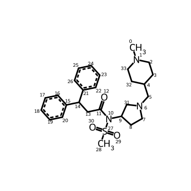 CN1CCC(CN2CCC(N(C(=O)CC(c3ccccc3)c3ccccc3)S(C)(=O)=O)C2)CC1